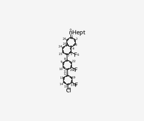 CCCCCCCc1ccc2c(F)c(-c3ccc(-c4ccc(Cl)c(F)c4)c(F)c3)ccc2c1